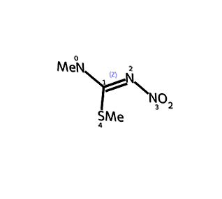 CN/C(=N/[N+](=O)[O-])SC